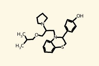 CC(C)COCC(CN1c2ccccc2SCC1c1ccc(O)cc1)N1CCCC1